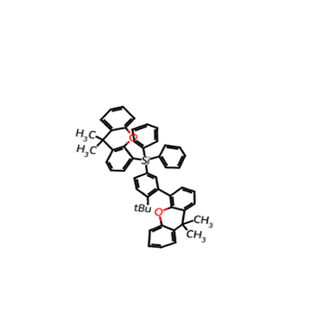 CC(C)(C)c1ccc([Si](c2ccccc2)(c2ccccc2)c2cccc3c2Oc2ccccc2C3(C)C)cc1-c1cccc2c1Oc1ccccc1C2(C)C